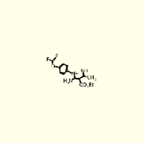 CCOC(=O)/C(C(C)=N)=C(\N)Nc1ccc(OC(F)F)cc1